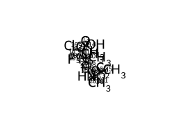 Cc1c(C)n(Cc2cc(OC(C)C(=O)O)c(Cl)cc2F)c2ccc(C(=O)N[C@@H](C)c3cccc(C(C)C)c3)cc12